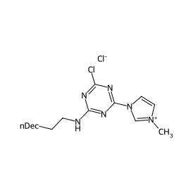 CCCCCCCCCCCCNc1nc(Cl)nc(-n2cc[n+](C)c2)n1.[Cl-]